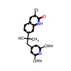 CCc1cc2ccc(C(C)(C#N)Cc3cc(OC)nc(OC)c3)cc2[nH]c1=O